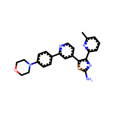 Cc1cccc(-c2nc(N)sc2-c2ccnc(-c3ccc(N4CCOCC4)cc3)c2)n1